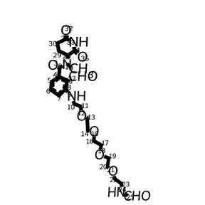 CN(C(=O)c1cccc(NCCOCCOCCOCCOCCNC=O)c1C=O)C1CCC(=O)NC1=O